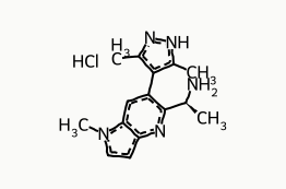 Cc1n[nH]c(C)c1-c1cc2c(ccn2C)nc1[C@H](C)N.Cl